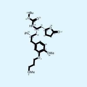 COCCCOc1cc(C[C@@H](C[C@@H](C[C@H]2CCC(=O)O2)NC(=O)OC(C)(C)C)C(C)C)ccc1OC